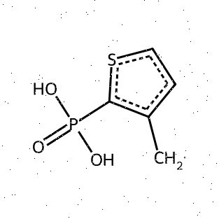 [CH2]c1ccsc1P(=O)(O)O